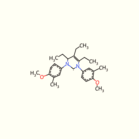 CCC1=C(CC)N(c2ccc(OC)c(C)c2)[CH]N(c2ccc(OC)c(C)c2)C1CC